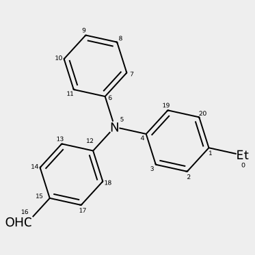 CCc1ccc(N(c2ccccc2)c2ccc(C=O)cc2)cc1